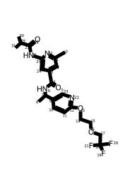 Cc1cc(C(=O)NC(C)c2ccc(OCCOCC(F)(F)F)nc2)cc(NC(=O)C(C)C)n1